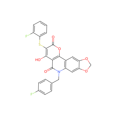 O=c1oc2c(c(O)c1Sc1ccccc1F)c(=O)n(Cc1ccc(F)cc1)c1cc3c(cc21)OCO3